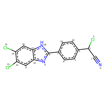 N#CC(Cl)c1ccc(-c2nc3cc(Cl)c(Cl)cc3[nH]2)cc1